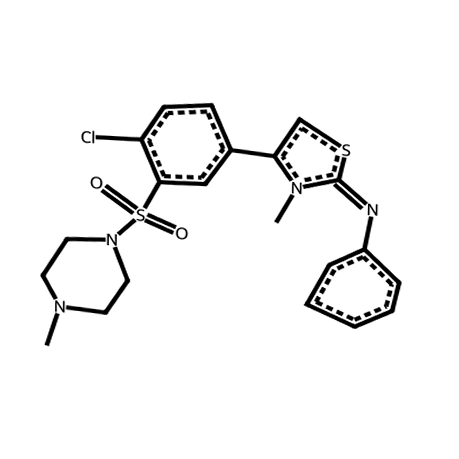 CN1CCN(S(=O)(=O)c2cc(-c3csc(=Nc4ccccc4)n3C)ccc2Cl)CC1